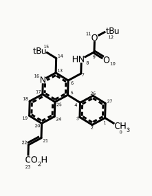 Cc1ccc(-c2c(CNC(=O)OC(C)(C)C)c(CC(C)(C)C)nc3ccc(/C=C/C(=O)O)cc23)cc1